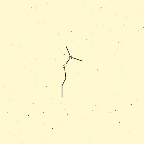 CCCSN(C)C